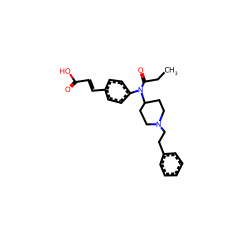 CCC(=O)N(c1ccc(/C=C/C(=O)O)cc1)C1CCN(CCc2ccccc2)CC1